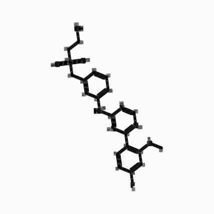 COc1cc(F)ccc1-c1ncnc(Nc2cccc(CS(=O)(=O)CCO)c2)n1